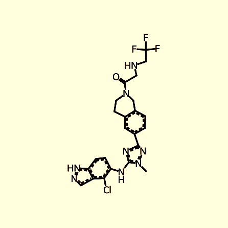 Cn1nc(-c2ccc3c(c2)CCN(C(=O)CNCC(F)(F)F)C3)nc1Nc1ccc2[nH]ncc2c1Cl